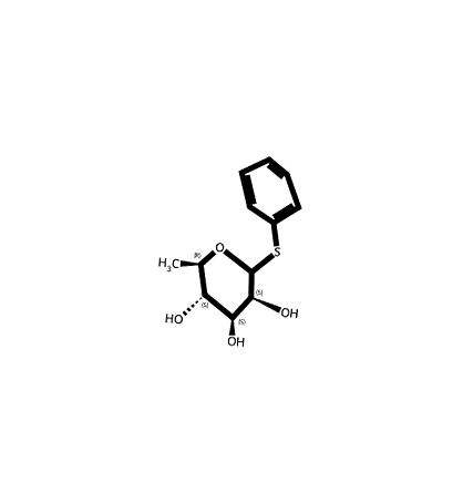 C[C@H]1OC(Sc2ccccc2)[C@@H](O)[C@@H](O)[C@@H]1O